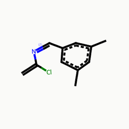 C=C(Cl)/N=C\c1cc(C)cc(C)c1